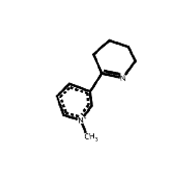 C[n+]1cccc(C2=NCCCC2)c1